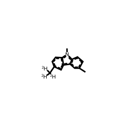 [2H]C([2H])([2H])c1ccc2c(c1)c1cc(C)ccc1n2C